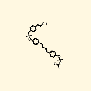 CC(=O)OC(C)(C)Oc1ccc(C=CC=Cc2ccc(OC(C)(C)Cc3ccc(C=CO)cc3)cc2)cc1